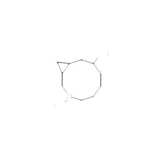 CC1CCCCN(C)CC2CC2C1